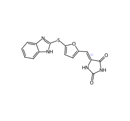 O=C1NC(=O)/C(=C/c2ccc(Sc3nc4ccccc4[nH]3)o2)N1